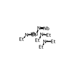 CC(C)(C)[N]=[Nb].CC[N-]CC.CC[N-]CC.CC[N-]CC